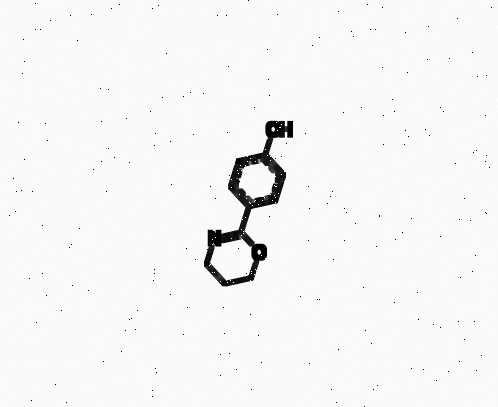 Oc1ccc(C2=NCCCO2)cc1